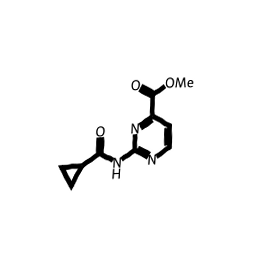 COC(=O)c1ccnc(NC(=O)C2CC2)n1